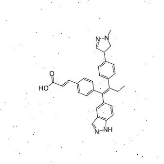 CC/C(=C(/c1ccc(/C=C/C(=O)O)cc1)c1ccc2[nH]ncc2c1)c1ccc(C2C=NN(C)C2)cc1